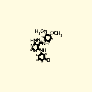 COc1ccc(Nc2n[nH]c3ncnc(Nc4cccc(Cl)c4)c23)cc1OC